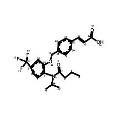 CCCC(=O)N(c1ccc(C(F)(F)F)cc1OCc1ccc(C=CC(=O)O)cc1)C(C)C